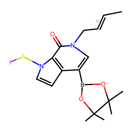 C/C=C/Cn1cc(B2OC(C)(C)C(C)(C)O2)c2ccn(SI)c2c1=O